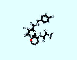 CN(C)C(=O)C(=O)NC12CCC(CC1)Cn1c2nc(C(=O)NCc2ccc(Cl)cc2)c(O)c1=O